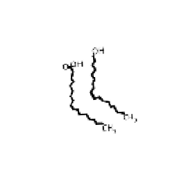 CCCCCCCC/C=C\CCCCCCCC(=O)O.CCCCCCCC/C=C\CCCCCCCCO